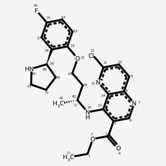 CCOC(=O)c1cnc2ccc(Cl)nc2c1N[C@H](C)CCOc1ccc(F)cc1[C@H]1CCCN1